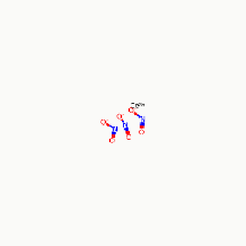 O=N[O-].O=N[O-].O=N[O-].[Ce+3]